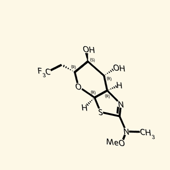 CON(C)C1=N[C@@H]2[C@@H](O)[C@H](O)[C@@H](CC(F)(F)F)O[C@@H]2S1